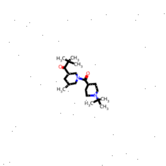 CC1CC(C(=O)C(C)(C)C)CN(C(=O)C2CCN(C(C)(C)C)CC2)C1